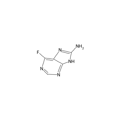 Nc1nc2c(F)ncnc2[nH]1